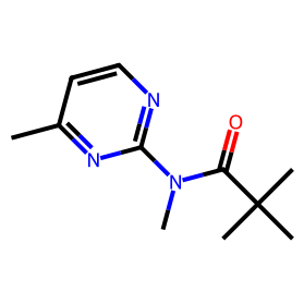 Cc1ccnc(N(C)C(=O)C(C)(C)C)n1